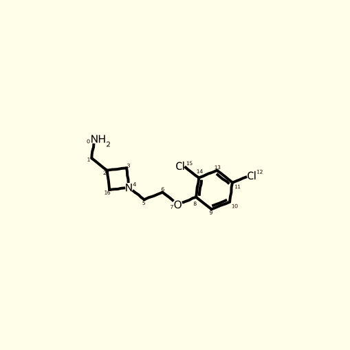 NCC1CN(CCOc2ccc(Cl)cc2Cl)C1